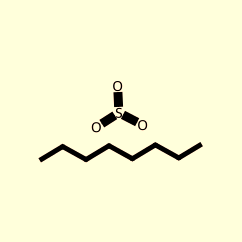 CCCCCCCC.O=S(=O)=O